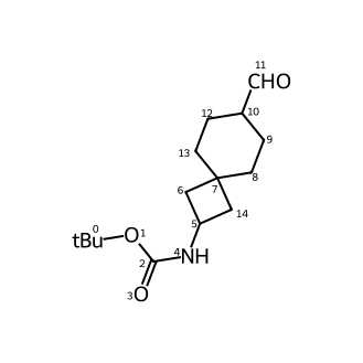 CC(C)(C)OC(=O)NC1CC2(CCC(C=O)CC2)C1